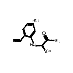 C=Cc1ccccc1NC(C(N)=O)C(C)CC.Cl